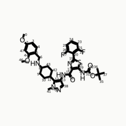 COc1ccc(CNC2CCC(c3c(NC(=O)c4nc(-c5c(F)cccc5F)sc4NC(=O)OC(C)(C)C)cnn3C)CC2)c(OC)c1